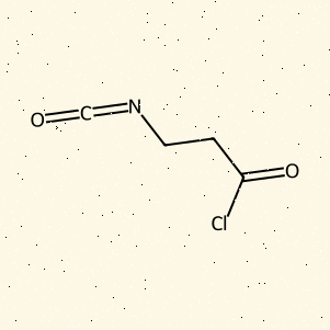 O=C=NCCC(=O)Cl